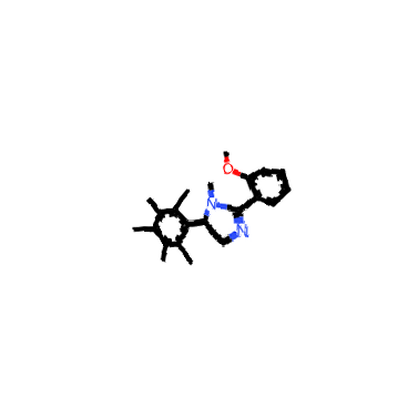 COc1ccccc1C1=NCC(c2c(C)c(C)c(C)c(C)c2C)N1C